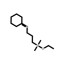 CCO[Si](C)(C)CCCN=C1CCCCC1